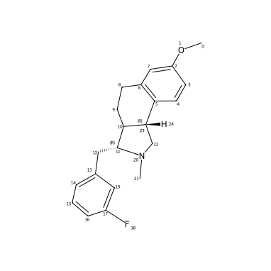 COc1ccc2c(c1)CCC1[C@@H](Cc3cccc(F)c3)N(C)C[C@@H]21